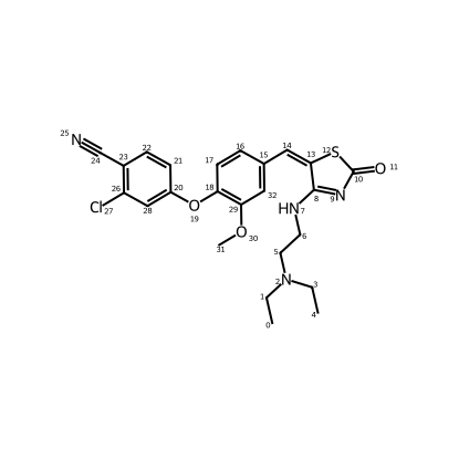 CCN(CC)CCNC1=NC(=O)SC1=Cc1ccc(Oc2ccc(C#N)c(Cl)c2)c(OC)c1